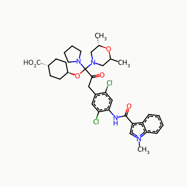 CC1CN(C(O[C@H]2CC[C@H](C(=O)O)CC2)(C(=O)Cc2cc(Cl)c(NC(=O)c3cn(C)c4ccccc34)cc2Cl)N2CCCC2)C[C@H](C)O1